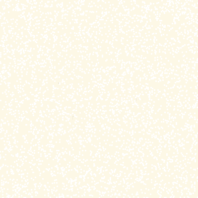 CC(C)(C)OC(=O)c1cc(Cl)c(CBr)cc1F